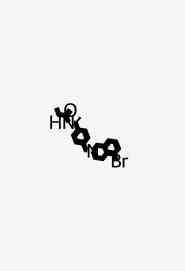 CCC(=O)N[C@@H](C)c1ccc(CN2CCc3c(Br)cccc3C2)cc1